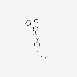 Cc1ccc(-c2cc(C(F)(F)F)nn2-c2ccc(S(=O)(=O)NC(=O)C3CCN(/[N+]([O-])=N/OC(C)OC(=O)OC(C)C)CC3)cc2)cc1